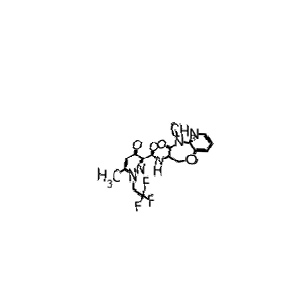 Cc1cc(=O)c(C(=O)NC2COc3cccnc3N(C)C2=O)nn1CC(F)(F)F